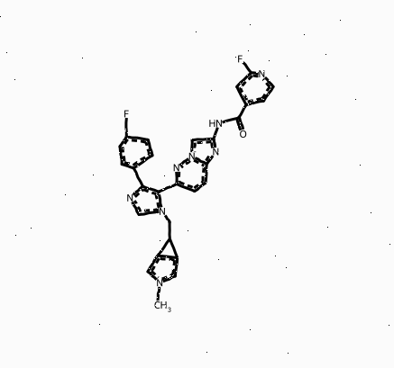 Cn1cc2c(c1)C2Cn1cnc(-c2ccc(F)cc2)c1-c1ccc2nc(NC(=O)c3ccnc(F)c3)cn2n1